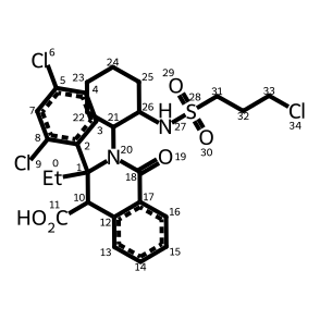 CCC1(c2ccc(Cl)cc2Cl)C(C(=O)O)c2ccccc2C(=O)N1C1CCCCC1NS(=O)(=O)CCCCl